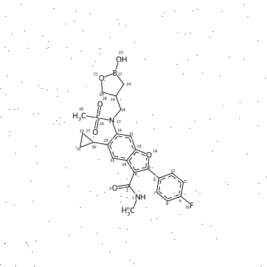 CNC(=O)c1c(-c2ccc(F)cc2)oc2cc(N(CC3COB(O)C3)S(C)(=O)=O)c(C3CC3)cc12